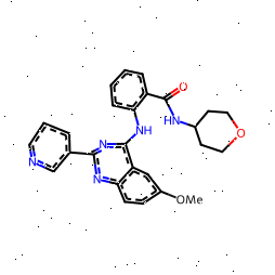 COc1ccc2nc(-c3cccnc3)nc(Nc3ccccc3C(=O)NC3CCOCC3)c2c1